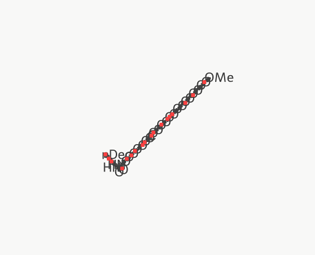 CCCCCCCCCCCCCCCCCCNc1c(NCCOCCOCCOCCOCCOCCOCCOCCOCCOCCOCCOCCOCCOCCOCCOCCOCCOCCOCCOCCOCCOCCOC)c(=O)c1=O